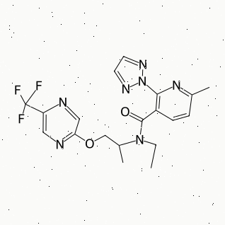 CCN(C(=O)c1ccc(C)nc1-n1nccn1)C(C)COc1cnc(C(F)(F)F)cn1